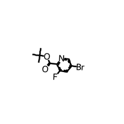 CC(C)(C)OC(=O)c1ncc(Br)cc1F